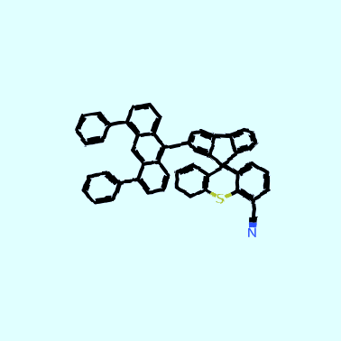 N#Cc1cccc2c1SC1=C(C=CCC1)C21c2ccccc2-c2ccc(-c3c4cccc(-c5ccccc5)c4cc4c(-c5ccccc5)cccc34)cc21